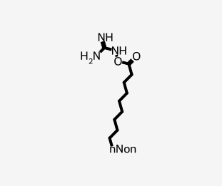 CCCCCCCCCCCCCCCCCC(=O)ONC(=N)N